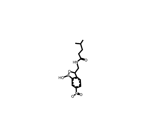 CC(C)CCC(=O)NCC1OB(O)c2cc([N+](=O)[O-])ccc21